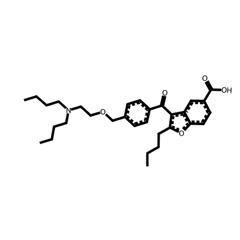 CCCCc1oc2ccc(C(=O)O)cc2c1C(=O)c1ccc(COCCN(CCCC)CCCC)cc1